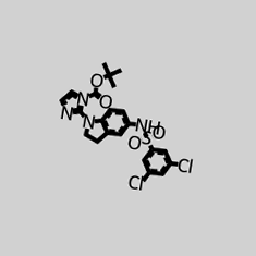 CC(C)(C)OC(=O)n1ccnc1N1CCc2cc(NS(=O)(=O)c3cc(Cl)cc(Cl)c3)ccc21